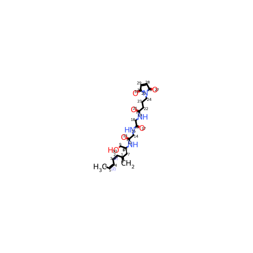 C=C(/C=C\C=C/C)C[C@@H](CO)NC(=O)CNC(=O)CNC(=O)CCCN1C(=O)C=CC1=O